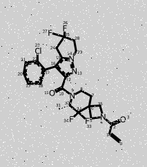 C=CC(=O)N1CC2(CCN(C(=O)c3nn4c(c3-c3ccccc3Cl)CC(F)(F)CC4)[C@@H](C)C2(F)F)C1